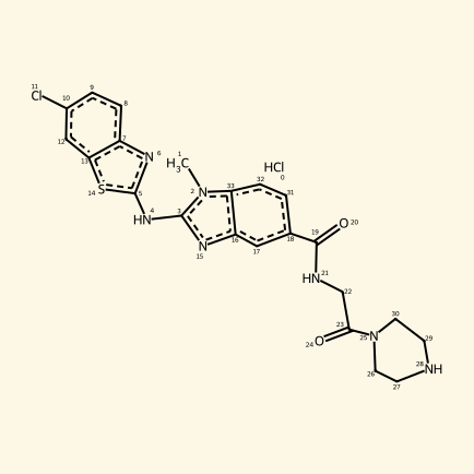 Cl.Cn1c(Nc2nc3ccc(Cl)cc3s2)nc2cc(C(=O)NCC(=O)N3CCNCC3)ccc21